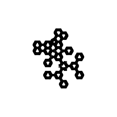 c1ccc(-c2cc(-c3ccccc3)cc(-c3nc(-c4cc(-c5ccccc5)cc(-c5ccccc5)c4)nc(-c4cc5c6c(c4)N(c4ccccc4)c4cc7c8cccc9cccc(c%10cccc(c4B6c4c(cc6c%11cccc%12cccc(c%13cccc4c%136)c%12%11)N5c4ccccc4)c%107)c98)n3)c2)cc1